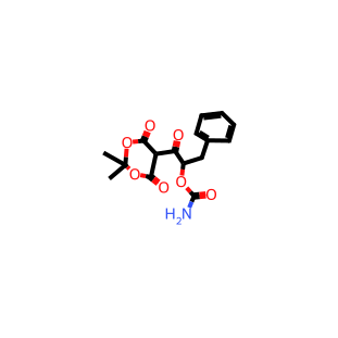 CC1(C)OC(=O)C(C(=O)C(Cc2ccccc2)OC(N)=O)C(=O)O1